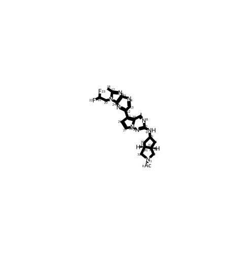 CC(=O)N1C[C@H]2CC(Nc3ncc4c(-c5cnc6nc(C)n(CC(F)F)c6n5)ccn4n3)C[C@H]2C1